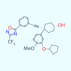 COc1ccc([C@]2(C#Cc3cccc(-c4nc(C(F)(F)F)no4)c3)CC[C@@H](O)CC2)cc1OC1CCCC1